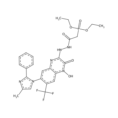 CCOP(=O)(CC(=O)NNc1nc2cc(-n3cc(C)nc3-c3ccccc3)c(C(F)(F)F)cc2n(O)c1=O)OCC